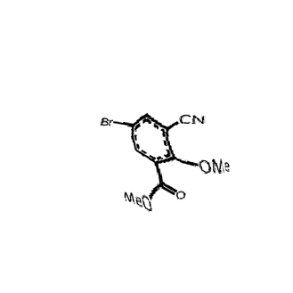 COC(=O)c1cc(Br)cc(C#N)c1OC